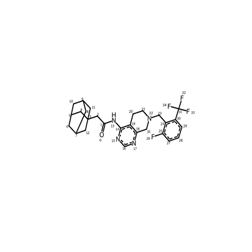 O=C(CC12CC3CC(CC(C3)C1)C2)Nc1ncnc2c1CCN(Cc1c(F)cccc1C(F)(F)F)C2